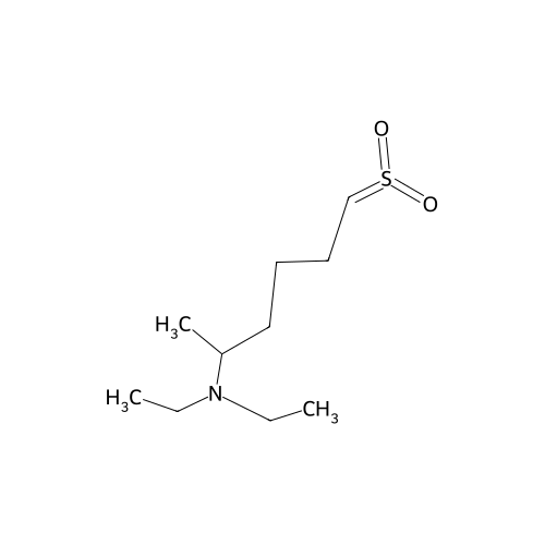 CCN(CC)C(C)CCCC=S(=O)=O